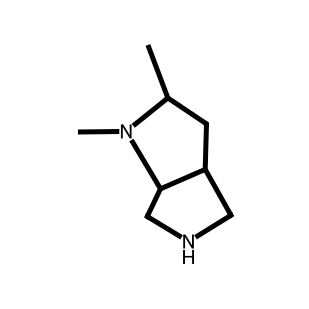 CC1CC2CNCC2N1C